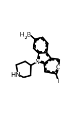 Bc1ccc2c3ccc(I)cc3n(C3CCNCC3)c2c1